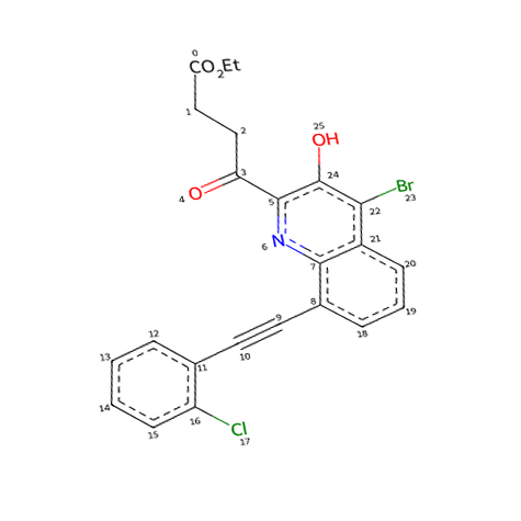 CCOC(=O)CCC(=O)c1nc2c(C#Cc3ccccc3Cl)cccc2c(Br)c1O